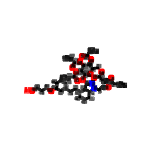 CC(C)(C)C(=O)OCCn1nc(O[C@@H]2O[C@H](COC(=O)C(C)(C)C)[C@@H](OC(=O)C(C)(C)C)[C@H](OC(=O)C(C)(C)C)[C@H]2OC(=O)C(C)(C)C)c2c(CCc3cccc(OCCCO)c3)cccc21